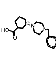 O=C(O)C1CCC[C@H](N2CCN(Cc3ccccc3)CC2)C1